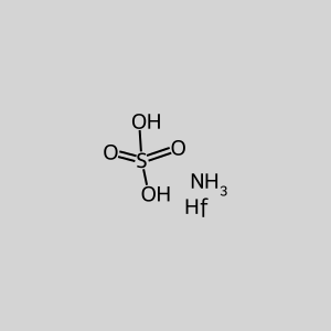 N.O=S(=O)(O)O.[Hf]